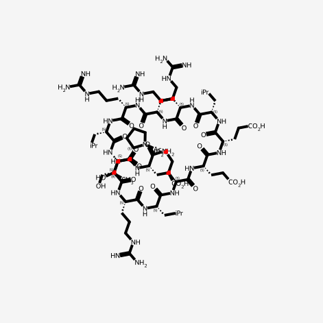 CC(=O)N1CCC[C@H]1C(=O)N[C@@H](CO)C(=O)N[C@@H](CCCNC(=N)N)C(=O)N[C@@H](CC(C)C)C(=O)N[C@@H](CCC(=O)O)C(=O)N[C@@H](CCC(=O)O)C(=O)N[C@@H](CCC(=O)O)C(=O)N[C@@H](CC(C)C)C(=O)N[C@@H](CCCNC(=N)N)C(=O)N[C@@H](CCCNC(=N)N)C(=O)N[C@@H](CCCNC(=N)N)C(=O)N[C@@H](CC(C)C)C(=O)N[C@H](C(=O)N[C@@H](CCC(=O)O)C(N)=O)[C@@H](C)O